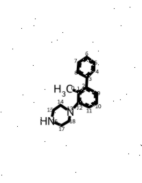 Cc1c(-c2ccccc2)cccc1N1CCNCC1